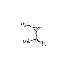 C=C(C=O)C1=C[C@@H]1C